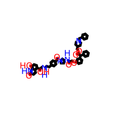 O=C(COc1cccc(C(C(=O)OCC2CCN(Cc3ccccc3)CC2)c2ccccc2)c1)NC1CCN(C(=O)c2ccc(CCNCC(O)c3ccc(O)c4[nH]c(=O)ccc34)cc2)C1